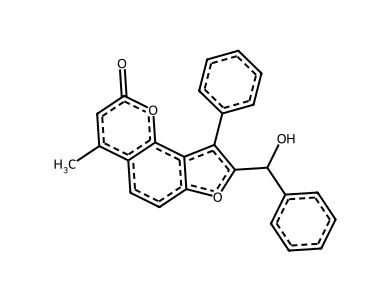 Cc1cc(=O)oc2c1ccc1oc(C(O)c3ccccc3)c(-c3ccccc3)c12